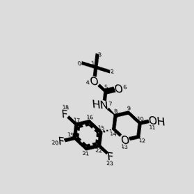 CC(C)(C)OC(=O)N[C@H]1CC(O)CO[C@@H]1c1cc(F)c(F)cc1F